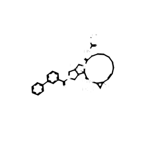 CC(C)(C)OC(=O)N[C@@H]1CCCCC/C=C\[C@@H]2C[C@@]2(C(=O)O)NC(=O)[C@@H]2[C@H]3CN(C(=O)c4cccc(-c5ccccc5)c4)C[C@H]3CN2C1=O